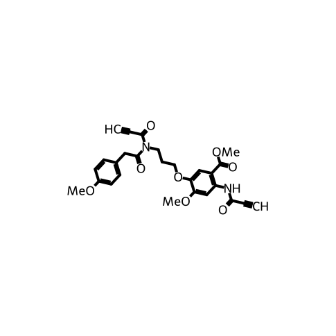 C#CC(=O)Nc1cc(OC)c(OCCCN(C(=O)C#C)C(=O)Cc2ccc(OC)cc2)cc1C(=O)OC